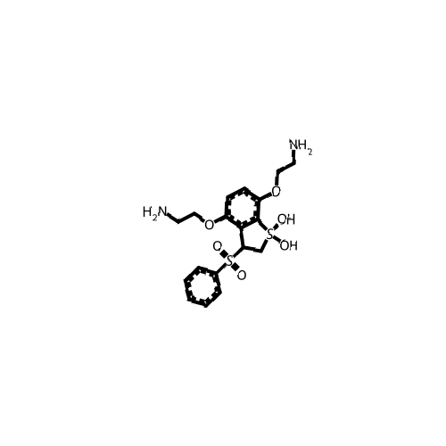 NCCOc1ccc(OCCN)c2c1C(S(=O)(=O)c1ccccc1)CS2(O)O